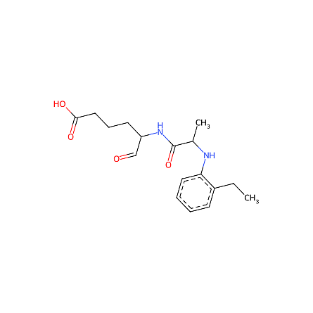 CCc1ccccc1NC(C)C(=O)NC(C=O)CCCC(=O)O